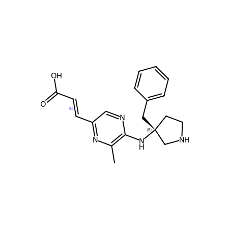 Cc1nc(/C=C/C(=O)O)cnc1N[C@]1(Cc2ccccc2)CCNC1